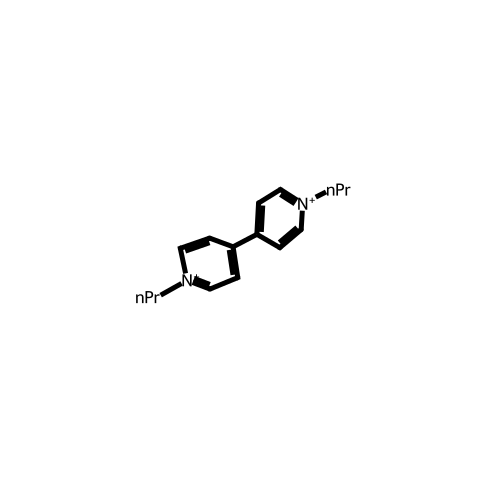 CCC[n+]1ccc(-c2cc[n+](CCC)cc2)cc1